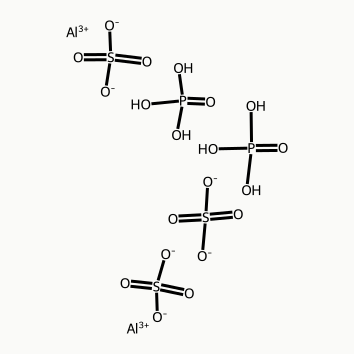 O=P(O)(O)O.O=P(O)(O)O.O=S(=O)([O-])[O-].O=S(=O)([O-])[O-].O=S(=O)([O-])[O-].[Al+3].[Al+3]